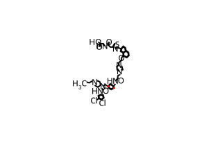 CCCCN1CCC(N(Cc2cccc(CNC(=O)CCN3CCN(CCOc4cccc5ccc(-c6nc(CC(=O)NCC(=O)O)cs6)cc45)CC3)c2)C(=O)Nc2ccc(Cl)c(Cl)c2)CC1